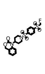 O=C1OCc2ccccc2N1C1CCN(S(=O)(=O)c2ccc(S(=O)(=O)CF)cc2)CC1